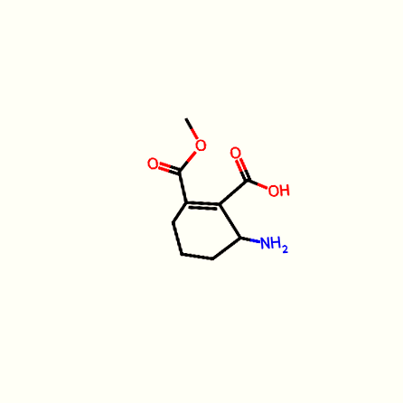 COC(=O)C1=C(C(=O)O)C(N)CCC1